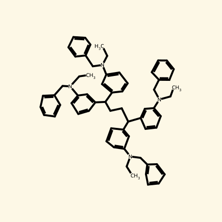 CCN(Cc1ccccc1)c1cccc(C(CCC(c2cccc(N(CC)Cc3ccccc3)c2)c2cccc(N(CC)Cc3ccccc3)c2)c2cccc(N(CC)Cc3ccccc3)c2)c1